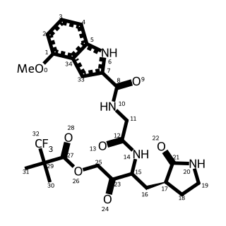 COc1cccc2[nH]c(C(=O)NCC(=O)NC(C[C@@H]3CCNC3=O)C(=O)COC(=O)C(C)(C)C(F)(F)F)cc12